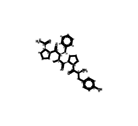 CN(C(=O)[C@@H]1CCCN1C(=O)[C@@H](N)Cc1ccc(O)cc1)[C@@H](Cc1ccccc1)C(=O)N1CCC[C@@H]1C(N)=O